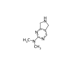 CN(C)c1ncc2c(n1)CNC2